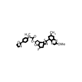 COc1cnc2c(-c3nc4cc(F)c5c(c4s3)C[C@@H](OC(=O)N(C)c3ccc(-c4ncco4)cc3)O5)cc(C)cc2n1